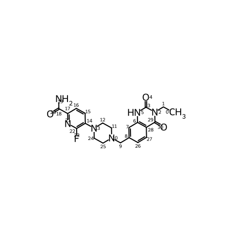 CCn1c(=O)[nH]c2cc(CN3CCN(c4ccc(C(N)=O)nc4F)CC3)ccc2c1=O